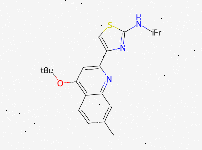 Cc1ccc2c(OC(C)(C)C)cc(-c3csc(NC(C)C)n3)nc2c1